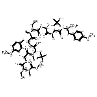 CC(C)C[C@@H](C(=O)O[C@H](C)C(=O)N(C)[C@@H](CC(C)(C)F)C(=O)O[C@H](Cc1ccc(OC(F)(F)F)cc1)C(=O)N(C)[C@@H](CC(C)C)C(=O)O[C@H](C)C(=O)N(C)[C@H](CC(C)(C)F)C(=O)O[C@H](Cc1ccc(OC(F)(F)F)cc1)C(=O)O)N(C)C(=O)OC(C)(C)C